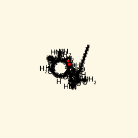 CCCCCCCCCCCCCCCC(=O)NCC(=O)NC(CO)C(=O)N[C@@H](CCC(N)=O)C(=O)N[C@@H](CC1CNC=N1)C(=O)N[C@@H](CO)C(=O)N[C@@H](CCCC)C(=O)N[C@H]1CCC(=O)CCNCCCC[C@@H](C(N)=O)NC(=O)[C@H](Cc2c[nH]c3ccccc23)NC(=O)[C@H](CCCNC(=N)N)NC(=O)[C@@H](Cc2ccccc2)NC(=O)[C@@H]2C[C@@H](O)CN2C1=O